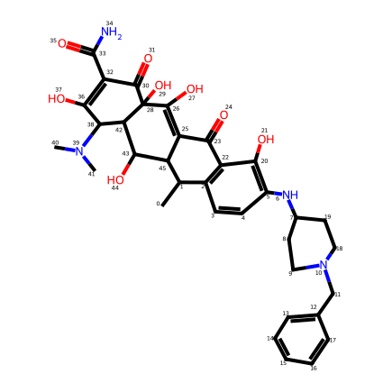 CC1c2ccc(NC3CCN(Cc4ccccc4)CC3)c(O)c2C(=O)C2=C(O)C3(O)C(=O)C(C(N)=O)=C(O)C(N(C)C)C3C(O)C21